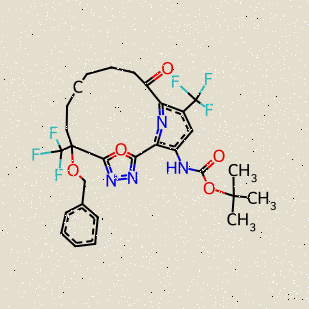 CC(C)(C)OC(=O)Nc1cc(C(F)(F)F)c2nc1-c1nnc(o1)C(OCc1ccccc1)(C(F)(F)F)CCCCCCC2=O